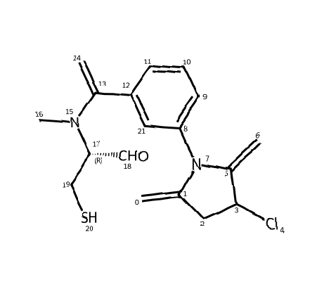 C=C1CC(Cl)C(=C)N1c1cccc(C(=C)N(C)[C@H](C=O)CS)c1